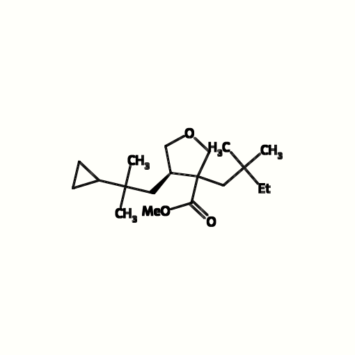 CCC(C)(C)CC1(C(=O)OC)COC[C@@H]1CC(C)(C)C1CC1